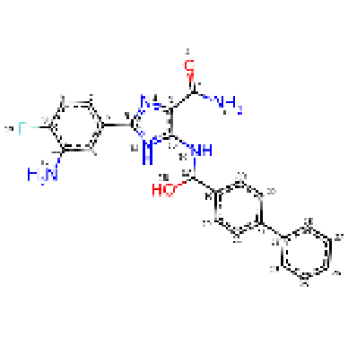 NC(=O)c1nc(-c2ccc(F)c(N)c2)[nH]c1NC(O)c1ccc(-c2ccccc2)cc1